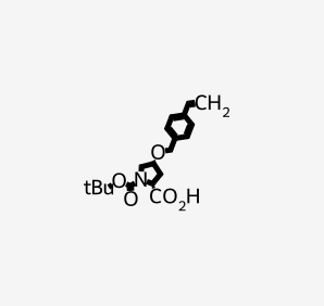 C=Cc1ccc(CO[C@@H]2C[C@@H](C(=O)O)N(C(=O)OC(C)(C)C)C2)cc1